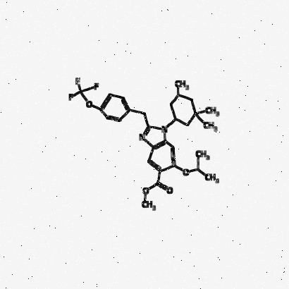 COC(=O)c1cc2nc(Cc3ccc(OC(F)(F)F)cc3)n(C3CC(C)CC(C)(C)C3)c2cc1OC(C)C